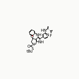 C=C(Nc1cc(-c2[nH]c3c(c2Nc2ccccc2)C(=O)CN(C(=O)SC(C)(C)C)C3)ccn1)[C@@H]1C[C@@H]1F